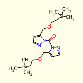 C[Si](C)(C)CCOCc1ccnn1C(=O)n1nccc1COCC[Si](C)(C)C